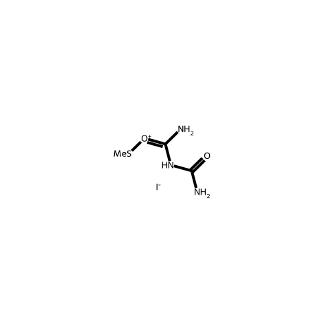 CS[O+]=C(N)NC(N)=O.[I-]